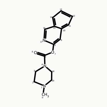 CN1CCN(C(=O)Oc2cc3ccccc3cn2)CC1